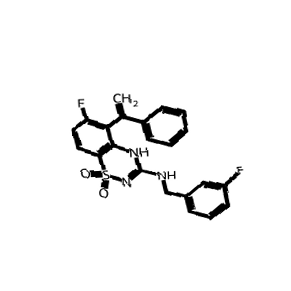 C=C(c1ccccc1)c1c(F)ccc2c1NC(NCc1cccc(F)c1)=NS2(=O)=O